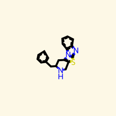 c1ccc(CC2Cc3c(sc4nc5ccccc5n34)CN2)cc1